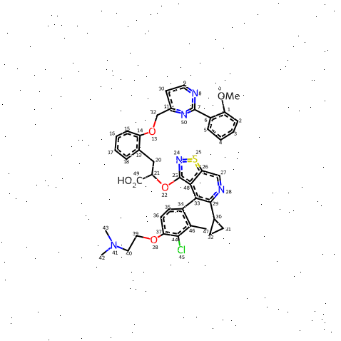 COc1ccccc1-c1nccc(COc2ccccc2CC(Oc2nsc3cnc(C4CC4)c(-c4ccc(OCCN(C)C)c(Cl)c4C)c23)C(=O)O)n1